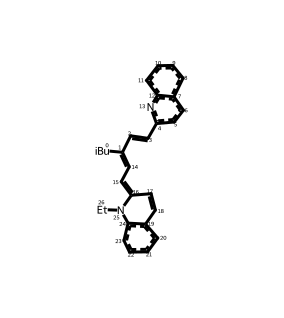 CCC(C)C(C=Cc1ccc2ccccc2n1)=CC=C1C=Cc2ccccc2N1CC